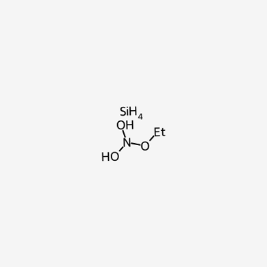 CCON(O)O.[SiH4]